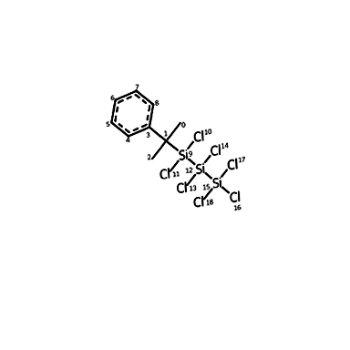 CC(C)(c1ccccc1)[Si](Cl)(Cl)[Si](Cl)(Cl)[Si](Cl)(Cl)Cl